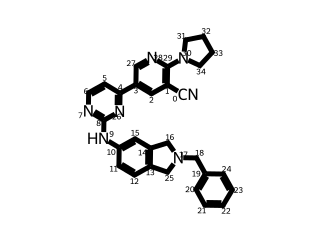 N#Cc1cc(-c2ccnc(Nc3ccc4c(c3)CN(Cc3ccccc3)C4)n2)cnc1N1CCCC1